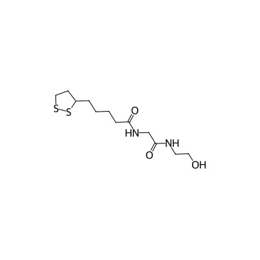 O=C(CCCCC1CCSS1)NCC(=O)NCCO